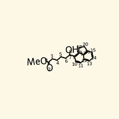 COC(=O)CCCCC(O)c1ccc2cccc3c2c1CC3